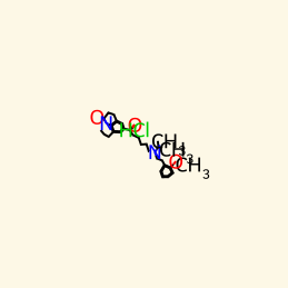 COc1ccccc1CCN(CCCCCC(=O)c1cc2c3c(c1)CCC(=O)N3CCC2)C(C)C.Cl